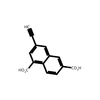 C#Cc1cc(C(=O)O)c2ccc(C(=O)O)cc2c1